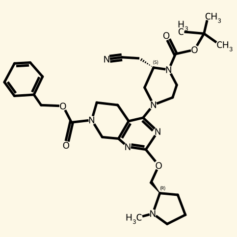 CN1CCC[C@@H]1COc1nc2c(c(N3CCN(C(=O)OC(C)(C)C)[C@@H](CC#N)C3)n1)CCN(C(=O)OCc1ccccc1)C2